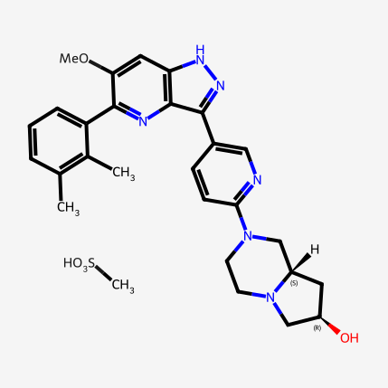 COc1cc2[nH]nc(-c3ccc(N4CCN5C[C@H](O)C[C@H]5C4)nc3)c2nc1-c1cccc(C)c1C.CS(=O)(=O)O